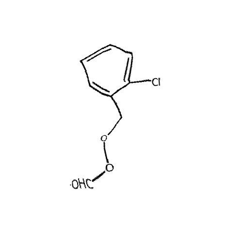 O=[C]OOCc1ccccc1Cl